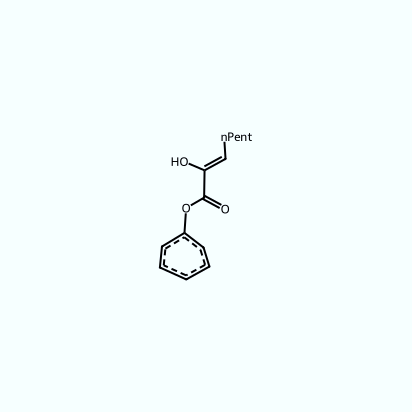 CCCCCC=C(O)C(=O)Oc1ccccc1